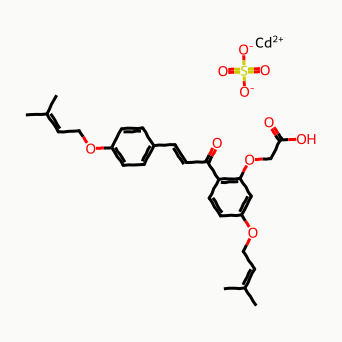 CC(C)=CCOc1ccc(/C=C/C(=O)c2ccc(OCC=C(C)C)cc2OCC(=O)O)cc1.O=S(=O)([O-])[O-].[Cd+2]